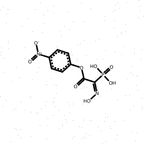 O=C(Oc1ccc([N+](=O)[O-])cc1)/C(=N\O)P(=O)(O)O